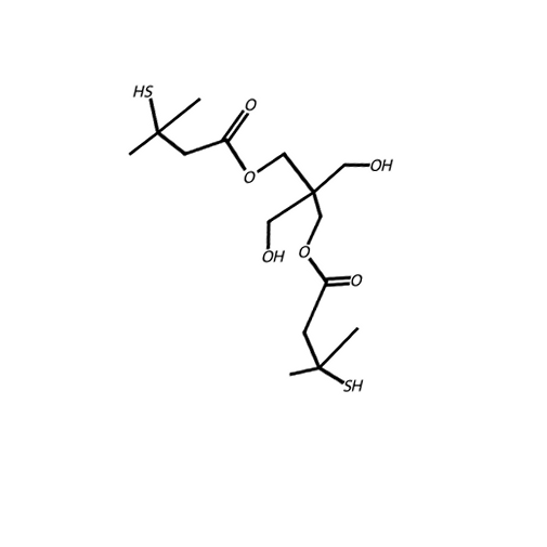 CC(C)(S)CC(=O)OCC(CO)(CO)COC(=O)CC(C)(C)S